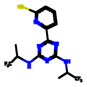 CC(Nc1nc(NC(C)C(F)(F)F)nc(-c2cccc(S)n2)n1)C(F)(F)F